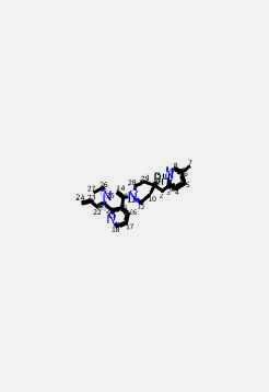 BC1(Cc2ccc(C)cn2)CCN(C(=C)c2cccnc2C(=C/C=C)/N=C\C)CC1